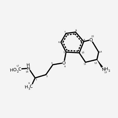 CC(CCOc1cccc2c1C[C@H](N)CO2)NC(=O)O